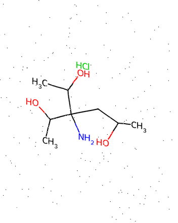 CC(O)CC(N)(C(C)O)C(C)O.Cl